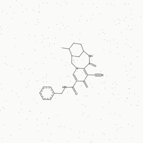 C=C1NC2CCC(C)C(C2)CN2C=C(C(=O)NCc3ccccc3)C(=C)C(C#N)=C12